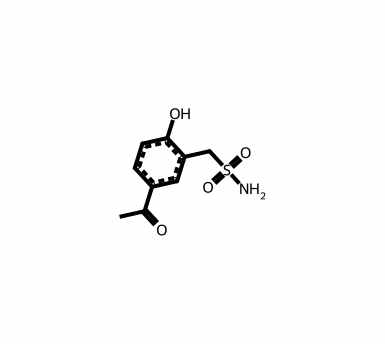 CC(=O)c1ccc(O)c(CS(N)(=O)=O)c1